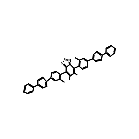 Cc1cc(-c2ccc(-c3ccccc3)cc2)ccc1-c1c(C)c(C)c(-c2ccc(-c3ccc(-c4ccccc4)cc3)cc2C)c2nsnc12